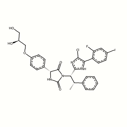 C[C@@H](c1ccccc1)[C@@H](c1nc(Cl)c(-c2ccc(I)cc2F)[nH]1)N1C(=O)N[C@H](c2ccc(OC[C@@H](O)CO)cc2)C1=O